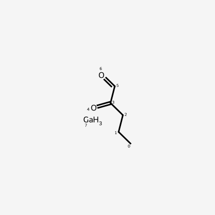 CCCC(=O)C=O.[GaH3]